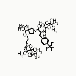 CC(C)(C)OC(=O)NC(Cc1ccc(C(F)(F)F)cc1)C(=O)N1C[C@H](CCCB2OC(C)(C)C(C)(C)O2)[C@](N=[N+]=[N-])(C(=O)O)C1